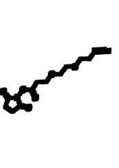 CC(=O)NCCOCCOCCC(=O)ON1C(=O)CCC1=O